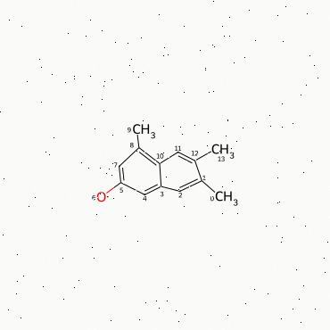 Cc1cc2cc([O])cc(C)c2cc1C